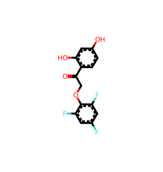 O=C(COc1c(F)cc(F)cc1F)c1ccc(O)cc1O